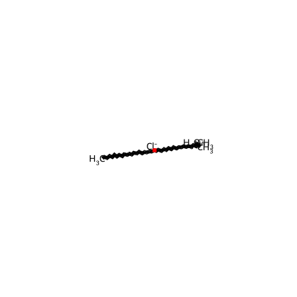 CCCCCCCCCCCCCCCCCCCCCCCCCCCCCCCCCCCCCCC[N+](C)(C)C.[Cl-]